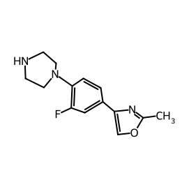 Cc1nc(-c2ccc(N3CCNCC3)c(F)c2)co1